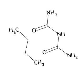 CCCC.NC(=O)NC(N)=O